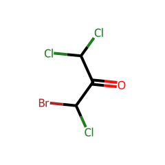 O=C(C(Cl)Cl)C(Cl)Br